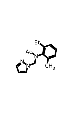 CCc1cccc(C)c1N(Cn1cccn1)C(C)=O